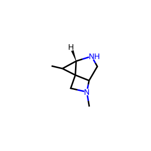 CC1[C@@H]2NCC3N(C)CC132